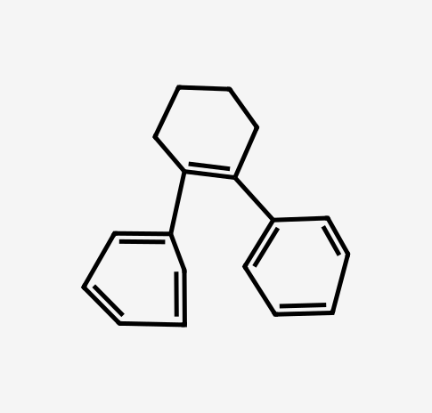 c1ccc(C2=C(c3ccccc3)CCCC2)cc1